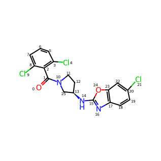 O=C(c1c(Cl)cccc1Cl)N1CC[C@@H](Nc2nc3ccc(Cl)cc3o2)C1